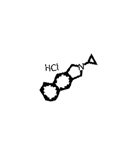 Cl.c1ccc2cc3c(cc2c1)CN(C1CC1)C3